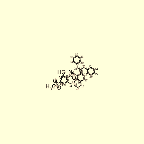 CS(=O)(=O)c1nc(O)c2c(n1)C[C@]1(CCCc3ccc(N(Cc4ccccc4)Cc4ccccc4)c(C#N)c31)OC2